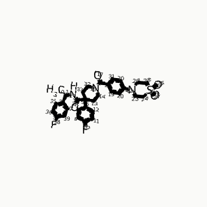 C[C@H](NC(=O)C1(c2ccc(F)cc2)CCN(C(=O)c2ccc(N3CCS(=O)(=O)CC3)cc2)CC1)c1ccc(F)cc1